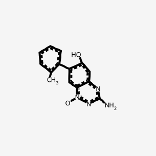 Cc1ccccc1-c1cc2c(cc1O)nc(N)n[n+]2[O-]